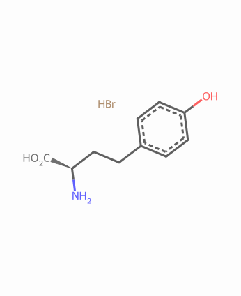 Br.N[C@H](CCc1ccc(O)cc1)C(=O)O